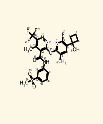 Cc1cc(C2(O)CCC2)c(F)nc1Oc1nnc(C(F)(F)F)c(C)c1C(=O)Nc1cccc(S(C)(=O)=O)c1